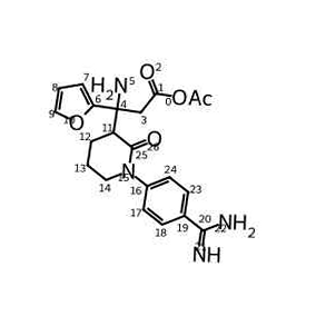 CC(=O)OC(=O)CC(N)(c1ccco1)C1CCCN(c2ccc(C(=N)N)cc2)C1=O